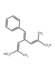 CC(=CC(=Cc1ccccc1)C=C(C)C(=O)O)C(=O)O